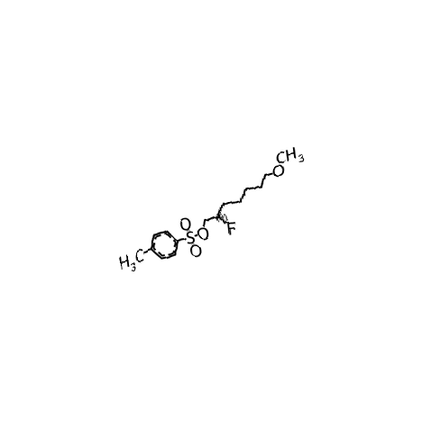 COCCCCC[C@@H](F)COS(=O)(=O)c1ccc(C)cc1